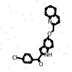 O=C(c1ccc(Cl)cc1)c1cc2cc(OCc3ccc4ccccc4n3)ccc2[nH]1